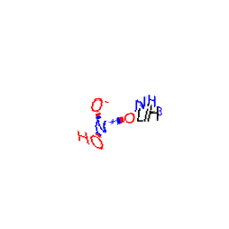 N.O=[N+]([O-])O.[LiH]